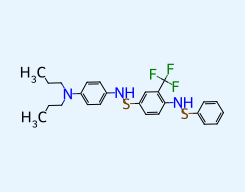 CCCN(CCC)c1ccc(NSc2ccc(NSc3ccccc3)c(C(F)(F)F)c2)cc1